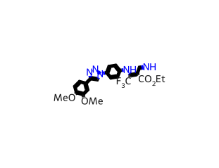 CCOC(=O)/C(C=N)=C(/Nc1ccc(-n2cc(-c3ccc(OC)c(OC)c3)nn2)cc1)C(F)(F)F